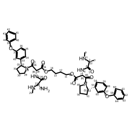 CN[C@@H](C)C(=O)N[C@@H](C(=O)OCCCCOC(=O)[C@H](NC(=O)[C@H](N)NC)C(=O)N1CCC[C@H]1c1cccc(Oc2ccccc2)c1)C(=O)N1CCC[C@H]1c1cccc(Oc2ccccc2)c1